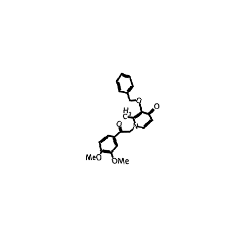 COc1ccc(C(=O)Cn2ccc(=O)c(OCc3ccccc3)c2C)cc1OC